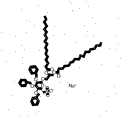 CCCCCCCCCCCCCCCCCC(=O)OCC(CO[C@@H]1O[C@H](CS(=O)(=O)[O-])[C@@H](OCc2ccccc2)[C@H](OCc2ccccc2)[C@H]1OCc1ccccc1)OC(=O)CCCCCCCCCCCCCCCCC.[Na+]